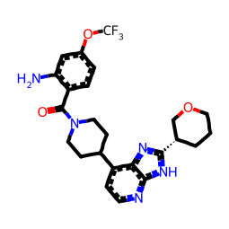 Nc1cc(OC(F)(F)F)ccc1C(=O)N1CCC(c2ccnc3[nH]c([C@H]4CCCOC4)nc23)CC1